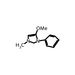 COC1=CN(C)CN1c1ccccc1